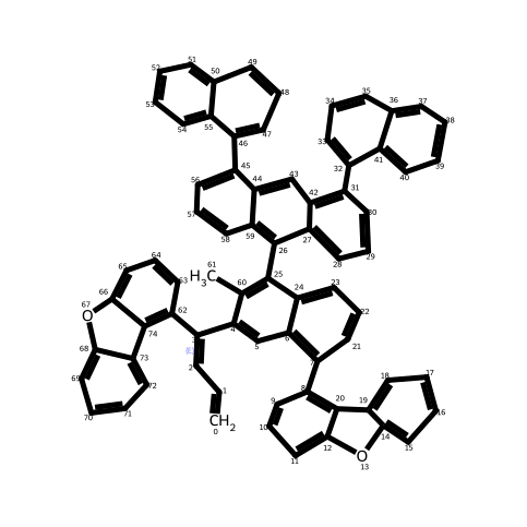 C=C/C=C(\c1cc2c(-c3cccc4oc5ccccc5c34)cccc2c(-c2c3cccc(-c4cccc5ccccc45)c3cc3c(-c4cccc5ccccc45)cccc23)c1C)c1cccc2oc3ccccc3c12